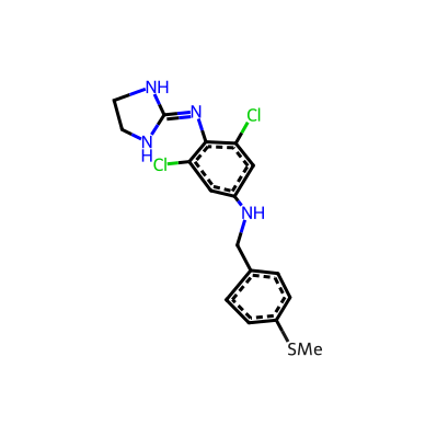 CSc1ccc(CNc2cc(Cl)c(N=C3NCCN3)c(Cl)c2)cc1